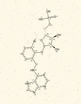 O=P(O)(O)OC[C@H]1OC(Oc2c(Br)cccc2CNc2ncnc3nc[nH]c23)[C@H](O)[C@@H]1O